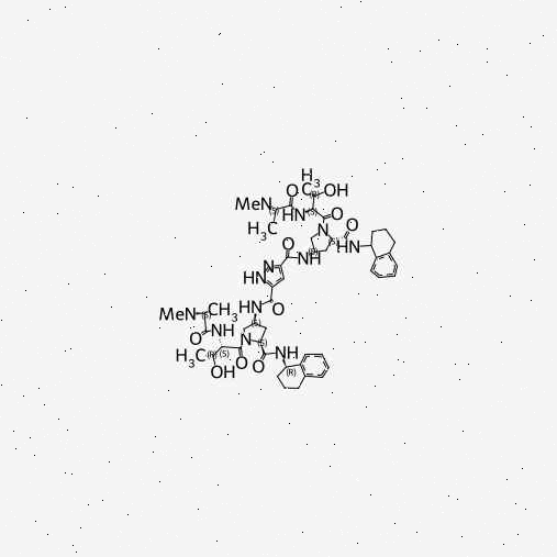 CN[C@@H](C)C(=O)N[C@H](C(=O)N1C[C@@H](NC(=O)c2cc(C(=O)N[C@H]3C[C@@H](C(=O)N[C@@H]4CCCc5ccccc54)N(C(=O)[C@@H](NC(=O)[C@H](C)NC)[C@@H](C)O)C3)[nH]n2)C[C@H]1C(=O)NC1CCCc2ccccc21)[C@@H](C)O